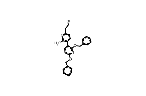 Cc1nc(CCO)ccc1-c1ccc(OCc2ccccc2)nc1OCc1ccccc1